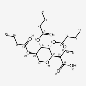 CCCC(=O)O[C@@H]1[C@H](OC(=O)CCC)[C@@H](C(CC)C(=O)O)OC[C@H]1OC(=O)CCC